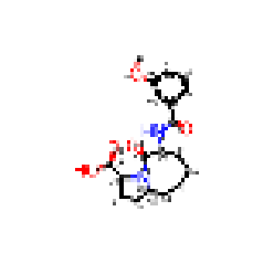 COc1cccc(C(=O)N[C@H]2CCCC[C@H]3CC[C@@H](C(=O)O)N3C2=O)c1